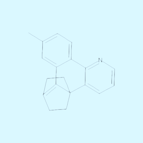 Cc1ccc2c(c1)C1=C3CCC1(CC3)c1cccnc1-2